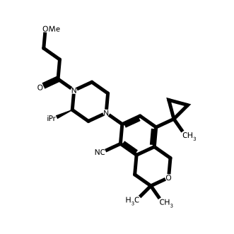 COCCC(=O)N1CCN(c2cc(C3(C)CC3)c3c(c2C#N)CC(C)(C)OC3)C[C@H]1C(C)C